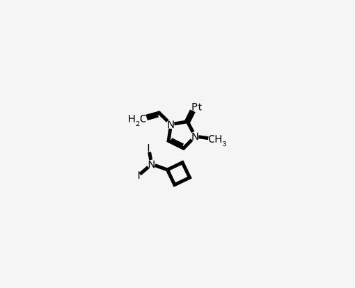 C=Cn1ccn(C)[c]1=[Pt].IN(I)C1CCC1